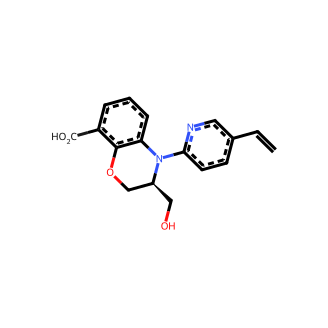 C=Cc1ccc(N2c3cccc(C(=O)O)c3OC[C@@H]2CO)nc1